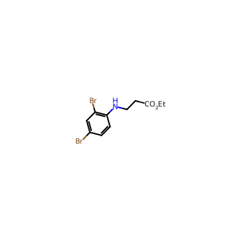 CCOC(=O)CCNc1ccc(Br)cc1Br